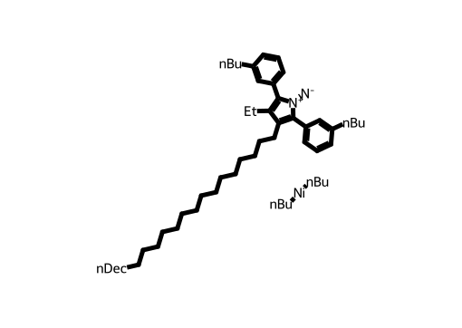 CCCCCCCCCCCCCCCCCCCCCCCCCC1=C(c2cccc(CCCC)c2)[N+](=[N-])C(c2cccc(CCCC)c2)=C1CC.CCC[CH2][Ni][CH2]CCC